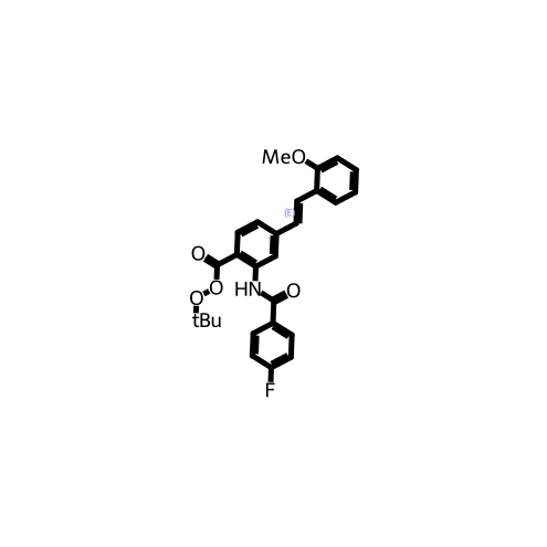 COc1ccccc1/C=C/c1ccc(C(=O)OOC(C)(C)C)c(NC(=O)c2ccc(F)cc2)c1